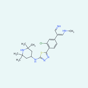 CN/C=C(\C=N)c1ccc(-c2nnc(NC3CC(C)(C)NC(C)(C)C3)s2)c(Cl)c1